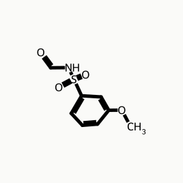 COc1cccc(S(=O)(=O)NC=O)c1